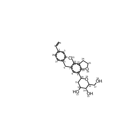 C=Cc1ccc(Cc2cc(C3CC(O)[C@H](O)C(CO)O3)c3c(c2Cl)CCO3)cc1